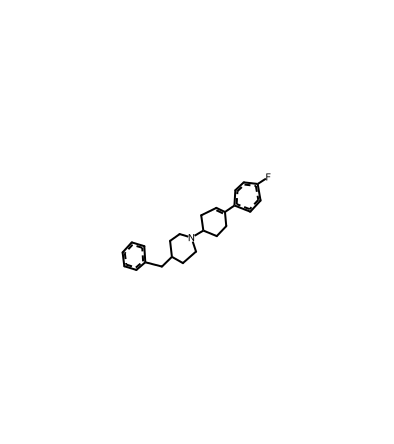 Fc1ccc(C2=CCC(N3CCC(Cc4ccccc4)CC3)CC2)cc1